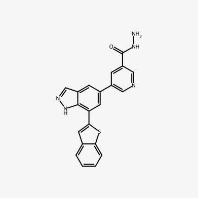 NNC(=O)c1cncc(-c2cc(-c3cc4ccccc4s3)c3[nH]ncc3c2)c1